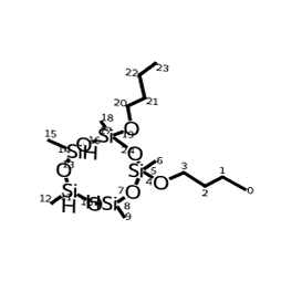 CCCCO[Si]1(C)O[SiH](C)O[SiH](C)O[SiH](C)O[Si](C)(OCCCC)O1